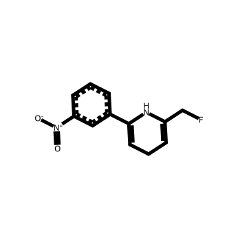 O=[N+]([O-])c1cccc(C2=CCC=C(CF)N2)c1